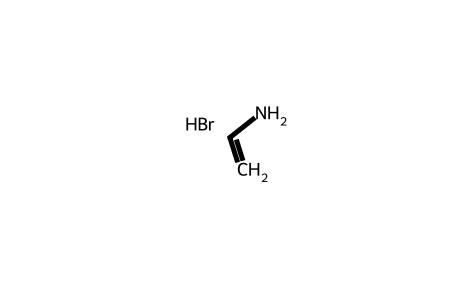 Br.C=CN